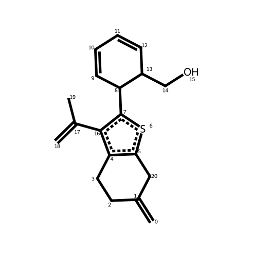 C=C1CCc2c(sc(C3C=CC=CC3CO)c2C(=C)C)C1